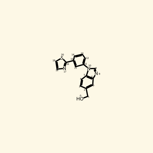 OCc1ccc2c(c1)ncn2-c1cccc(-c2nccs2)c1